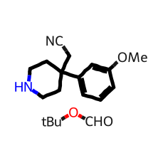 CC(C)(C)OC=O.COc1cccc(C2(CC#N)CCNCC2)c1